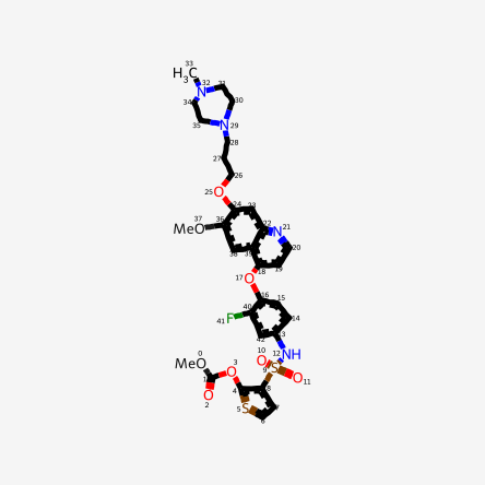 COC(=O)Oc1sccc1S(=O)(=O)Nc1ccc(Oc2ccnc3cc(OCCCN4CCN(C)CC4)c(OC)cc23)c(F)c1